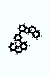 c1cc(-c2cccc3c2sc2c4ccccc4ccc32)cc(-c2cccc3ccc4cccnc4c23)c1